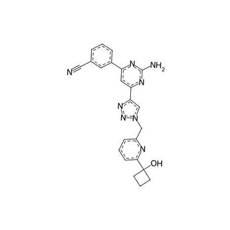 N#Cc1cccc(-c2cc(-c3cn(Cc4cccc(C5(O)CCC5)n4)nn3)nc(N)n2)c1